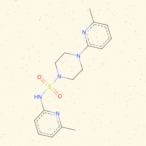 Cc1cccc(NS(=O)(=O)N2CCN(c3cccc(C)n3)CC2)n1